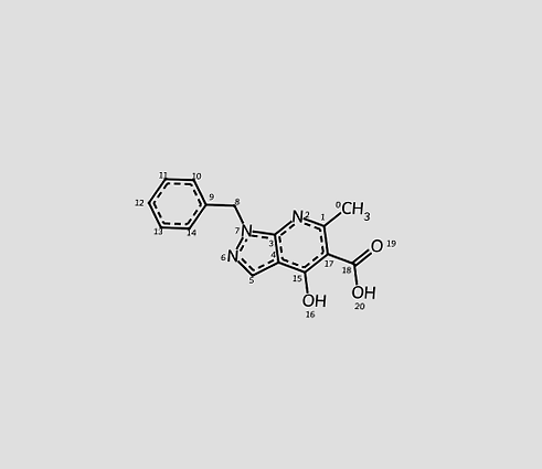 Cc1nc2c(cnn2Cc2ccccc2)c(O)c1C(=O)O